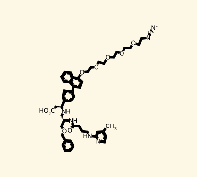 Cc1ccnc(NCCCC(=O)N[C@@H](CN[C@@H](CC(=O)O)c2ccc(-c3ccc(OCCOCCOCCOCCOCCN=[N+]=[N-])c4ccccc34)cc2)COCc2ccccc2)c1